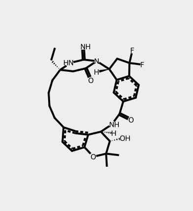 CC[C@]12CCCCc3ccc4c(c3)[C@@H](NC(=O)c3ccc5c(c3)[C@@H](CC5(F)F)N(C(=N)N1)C(=O)C2)[C@H](O)C(C)(C)O4